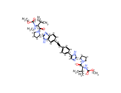 COC(=O)N[C@H](C(=O)N1CCC[C@H]1c1ncc(-c2ccc(C#Cc3ccc4nc([C@@H]5CC[C@H](C)N5C(=O)[C@@H](NC(=O)OC)C(C)C)[nH]c4c3)cc2)[nH]1)C(C)C